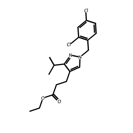 CCOC(=O)CCc1cn(Cc2ccc(Cl)cc2Cl)nc1C(C)C